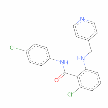 O=C(Nc1ccc(Cl)cc1)c1c(Cl)cccc1NCc1ccncc1